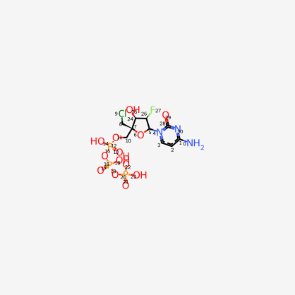 Nc1ccn(C2O[C@](CCl)(COP(=O)(O)OP(=O)(O)OP(=O)(O)O)[C@@H](O)[C@H]2F)c(=O)n1